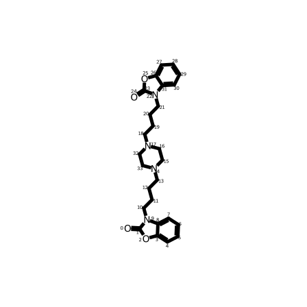 O=c1oc2ccccc2n1CCCCN1CCN(CCCCn2c(=O)oc3ccccc32)CC1